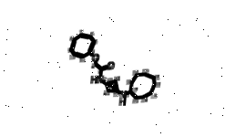 O=C(COC1=C/C=C\C=C/C=C\1)NC12CC(NC3CCCCCCCC3)(C1)C2